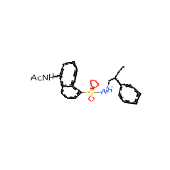 CC(=O)Nc1cccc2c(S(=O)(=O)NCC(C)c3ccccc3)cccc12